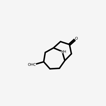 O=CC1CCC2CC(=O)CC(C1)N2